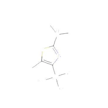 CCC[CH2][Sn]([CH2]CCC)([CH2]CCC)[c]1nc([SiH](C)C)sc1C